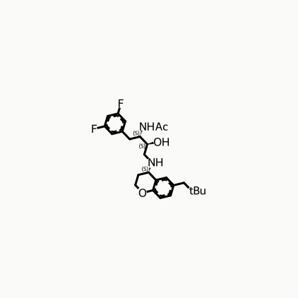 CC(=O)N[C@@H](Cc1cc(F)cc(F)c1)[C@@H](O)CN[C@H]1CCOc2ccc(CC(C)(C)C)cc21